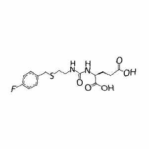 O=C(O)CC[C@H](NC(=O)NCCSCc1ccc(F)cc1)C(=O)O